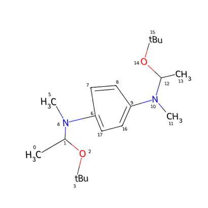 CC(OC(C)(C)C)N(C)c1ccc(N(C)C(C)OC(C)(C)C)cc1